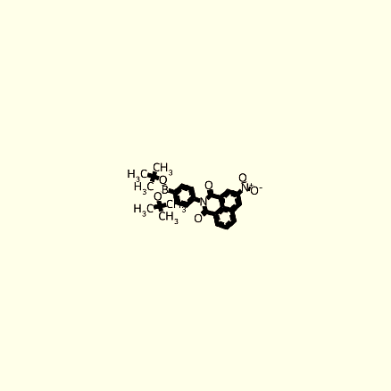 CC(C)(C)OB(OC(C)(C)C)c1ccc(N2C(=O)c3cccc4cc([N+](=O)[O-])cc(c34)C2=O)cc1